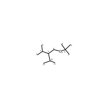 CC(C)C(COC(C)(C)C)C(C)C